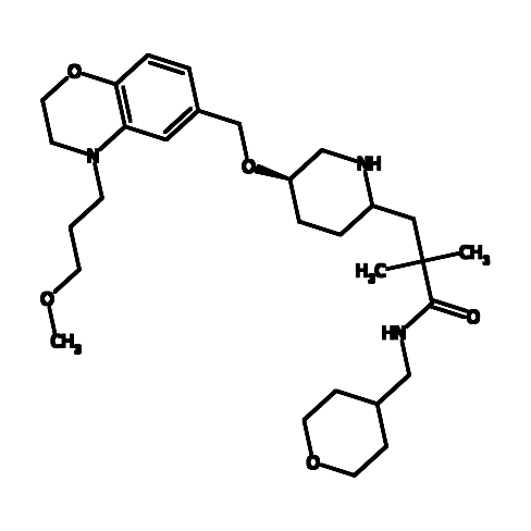 COCCCN1CCOc2ccc(CO[C@@H]3CCC(CC(C)(C)C(=O)NCC4CCOCC4)NC3)cc21